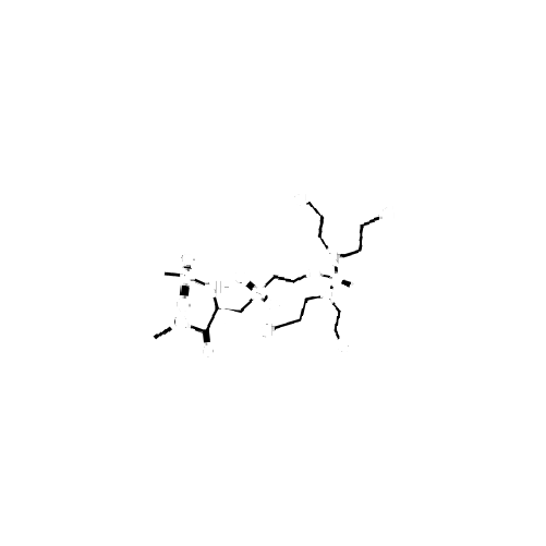 COC(=O)[C@H](CS(=O)(=O)CCOP(=O)(N(CCCl)CCCl)N(CCCl)CCCl)NS(C)(=O)=O